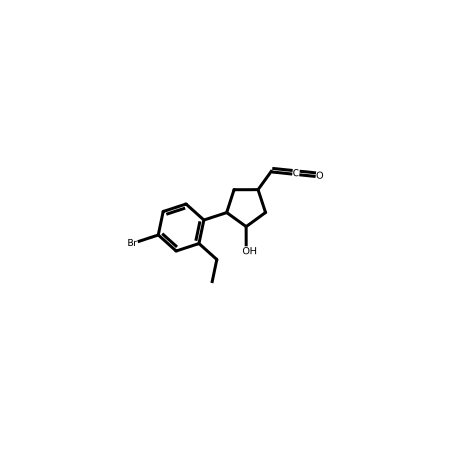 CCc1cc(Br)ccc1C1CC(C=C=O)CC1O